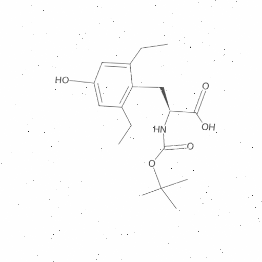 CCc1cc(O)cc(CC)c1C[C@H](NC(=O)OC(C)(C)C)C(=O)O